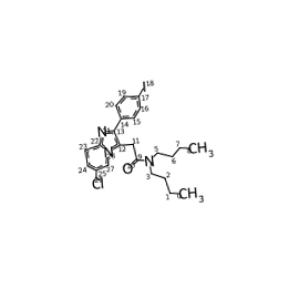 CCCCN(CCCC)C(=O)Cc1c(-c2ccc(I)cc2)nc2ccc(Cl)cn12